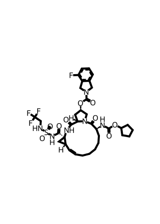 O=C(N[C@H]1CCCCC/C=C\[C@@H]2C[C@@]2(C(=O)NS(=O)(=O)NCC(F)(F)F)NC(=O)[C@@H]2C[C@@H](OC(=O)N3Cc4cccc(F)c4C3)CN2C1=O)OC1CCCC1